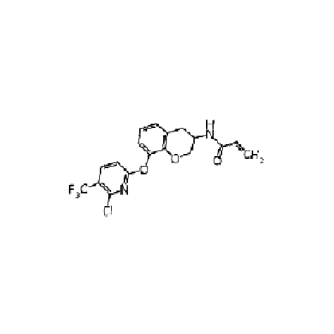 C=CC(=O)NC1COc2c(cccc2Oc2ccc(C(F)(F)F)c(Cl)n2)C1